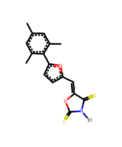 CCN1C(=S)O/C(=C\c2ccc(-c3c(C)cc(C)cc3C)o2)C1=S